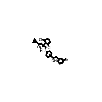 OC(Cc1cccc(Br)c1)C12CCC(OCC3(c4c(Cl)cccc4Cl)C=C(C4CC4)ON3)(CC1)CC2